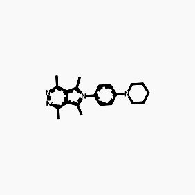 Cc1nnc(C)c2c(C)n(-c3ccc(N4CCCCC4)cc3)c(C)c12